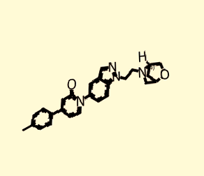 Cc1ccc(-c2ccn(-c3ccc4c(cnn4CCN4CC5C[C@H]4CO5)c3)c(=O)c2)cc1